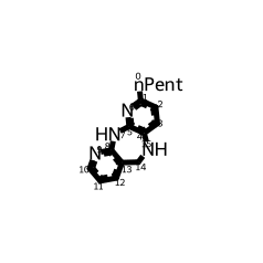 CCCCCc1ccc2c(n1)Nc1ncccc1CN2